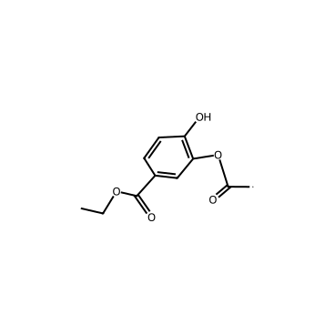 [CH2]C(=O)Oc1cc(C(=O)OCC)ccc1O